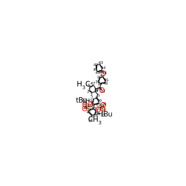 Cc1ccc(Cc2ccc(-c3ccc(C)cc3S(=O)(=O)OCC(C)(C)C)c(S(=O)(=O)OCC(C)(C)C)c2)c(C(=O)c2ccc(Oc3ccccc3)cc2)c1